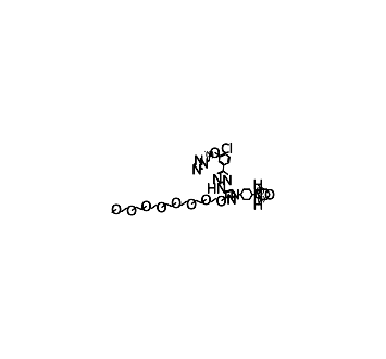 COCCOCCOCCOCCOCCOCCOCCOc1nn(C2CCC(N3[C@@H]4CC[C@H]3COC4)CC2)cc1Nc1ncc(-c2ccc(Cl)c(O[C@@H](C)Cn3cncn3)c2)cn1